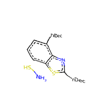 CCCCCCCCCCc1nc2c(CCCCCCCCCC)cccc2s1.NS